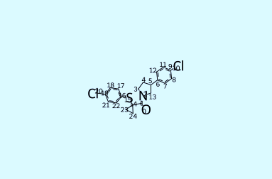 O=C(N1CCC(c2ccc(Cl)cc2)C1)C1(Sc2ccc(Cl)cc2)CC1